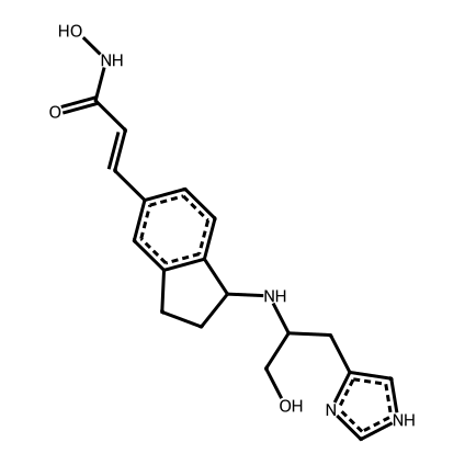 O=C(C=Cc1ccc2c(c1)CCC2NC(CO)Cc1c[nH]cn1)NO